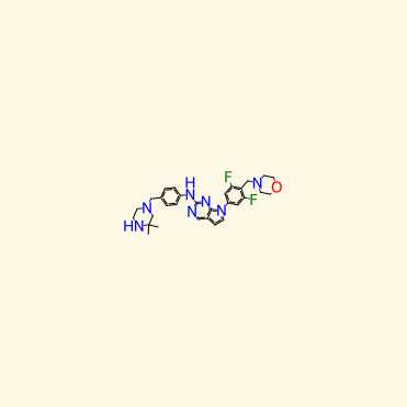 CC1(C)CN(Cc2ccc(Nc3ncc4ccn(-c5cc(F)c(CN6CCOCC6)c(F)c5)c4n3)cc2)CCN1